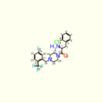 NC(Cc1ccccc1Cl)C(=O)N1CCN(Cc2cc(F)ccc2C(F)(F)F)CC1